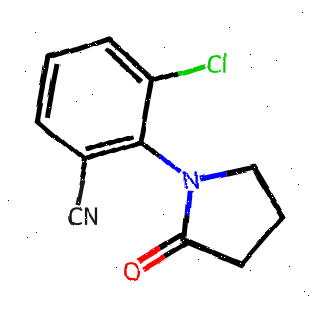 N#Cc1cccc(Cl)c1N1CCCC1=O